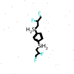 FCC(F)C[SiH2]c1ccc([SiH2]CC(F)CF)cc1